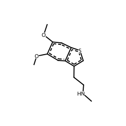 CNCCc1csc2cc(OC)c(OC)cc12